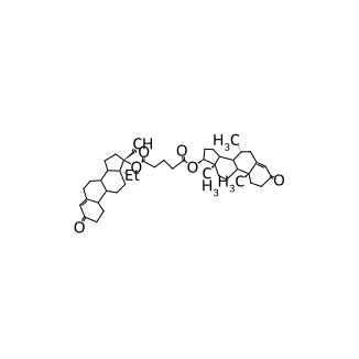 C#C[C@]1(OC(=O)CCCC(=O)O[C@H]2CCC3C4C(CC[C@@]32C)[C@@]2(C)CCC(=O)C=C2C[C@H]4C)CCC2C3CCC4=CC(=O)CCC4C3CC[C@@]21CC